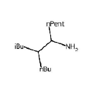 CCCCCC(N)C(CCCC)C(C)CC